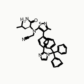 Cc1nsc(N(CC#N)[C@@H](CC(C)C)C(N)=O)c1-c1ccc(-c2nccn2C(c2ccccc2)(c2ccccc2)c2ccccc2)cc1